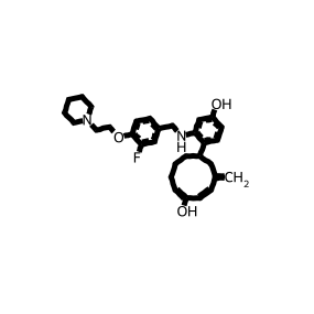 C=C1/C=C\C(O)=C/CCCC(c2ccc(O)cc2NCc2ccc(OCCN3CCCCC3)c(F)c2)C1